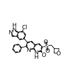 O=c1[nH]c2nc(-c3ccccc3)c(-c3cc(Cl)c4[nH]ncc4c3)cc2cc1S(=O)(=O)CC1COC1